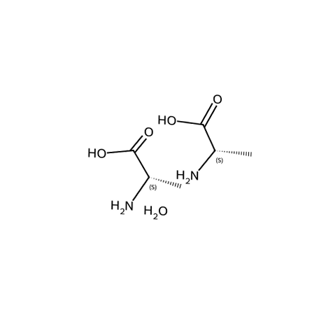 C[C@H](N)C(=O)O.C[C@H](N)C(=O)O.O